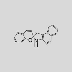 [CH]1c2c(ccc3ccccc23)NC12C=Cc1ccccc1O2